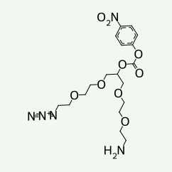 [N-]=[N+]=NCCOCCOCC(COCCOCCN)OC(=O)Oc1ccc([N+](=O)[O-])cc1